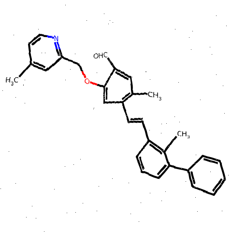 Cc1ccnc(COc2cc(/C=C/c3cccc(-c4ccccc4)c3C)c(C)cc2C=O)c1